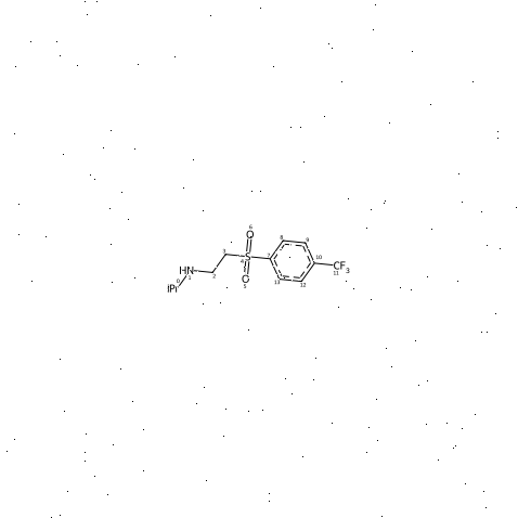 CC(C)NCCS(=O)(=O)c1ccc(C(F)(F)F)cc1